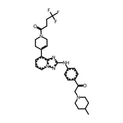 CC1CCN(CC(=O)c2ccc(Nc3nc4c(C5=CCN(C(=O)CCC(F)(F)F)CC5)cccn4n3)cc2)CC1